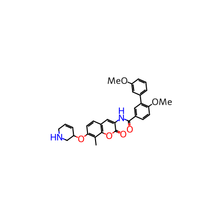 COc1cccc(-c2cc(C(=O)Nc3cc4ccc(OC5C=CCNC5)c(C)c4oc3=O)ccc2OC)c1